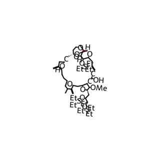 C=C1C(C)CC2CC[C@@H]3OC(CC[C@@]45CCOC6[C@@H](OC(C/C=C/CC(O)CC7C(CC1O2)O[C@H](CC(CO[Si](CC)(CC)CC)O[Si](CC)(CC)CC)[C@@H]7OC)C(O[Si](CC)(CC)CC)[C@@H]6O4)C(C)O5)CC3=C